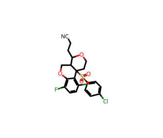 N#CCCC1OCCC2(S(=O)(=O)c3ccc(Cl)cc3)c3c(F)ccc(F)c3OCC12